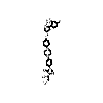 C=C[C@H](CC)n1ncn(-c2ccc(N3CCN(c4ccc(OC[C@@H]5CO[C@@](C)(c6ccc(F)cc6F)C5)cc4)CC3)cc2)c1=O